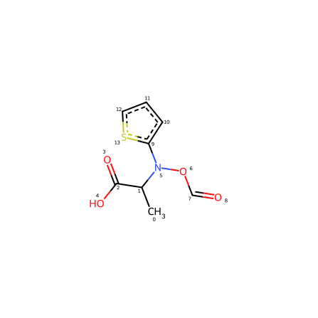 CC(C(=O)O)N(OC=O)c1cccs1